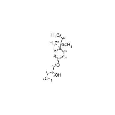 CCC(O)COc1ccc(C(C)(C)CC)cc1